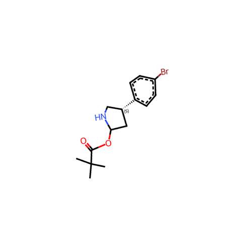 CC(C)(C)C(=O)OC1C[C@@H](c2ccc(Br)cc2)CN1